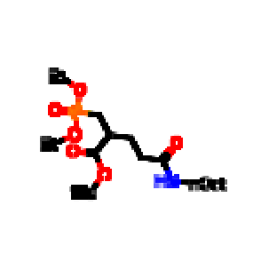 CCCCCCCCNC(=O)CCC(CP(=O)(OCC)OCC)C(=O)OC(C)(C)C